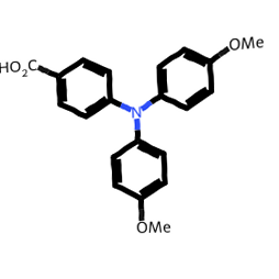 COc1ccc(N(c2ccc(OC)cc2)c2ccc(C(=O)O)cc2)cc1